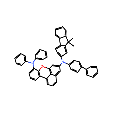 CC1(C)c2ccccc2-c2ccc(N(c3ccc(-c4ccccc4)cc3)c3cc4c5c(cccc5c3)-c3cccc(N(c5ccccc5)c5ccccc5)c3O4)cc21